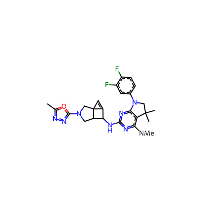 CNc1nc(NC2C3=CC34CN(c3nnc(C)o3)CC24)nc2c1C(C)(C)CN2c1ccc(F)c(F)c1